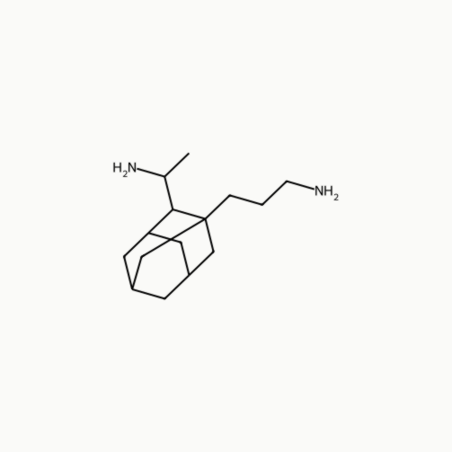 CC(N)C1C2CC3CC(C2)CC1(CCCN)C3